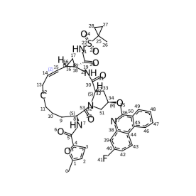 Cc1ccc(C(=O)N[C@H]2CCCCC/C=C\[C@@H]3C[C@@]3(C(=O)NS(=O)(=O)C3(C)CC3)NC(=O)[C@@H]3C[C@@H](Oc4nc5cc(F)ccc5c5ccccc45)CN3C2=O)o1